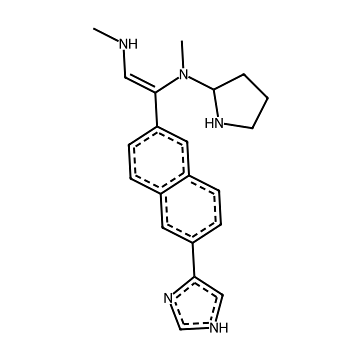 CN/C=C(/c1ccc2cc(-c3c[nH]cn3)ccc2c1)N(C)C1CCCN1